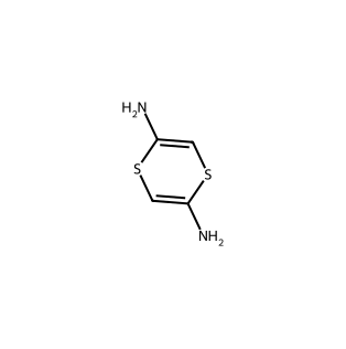 NC1=CSC(N)=CS1